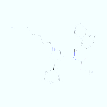 C[C@H](c1cccc2ccccc12)N(C[C@H]1CN(C(=O)CCCCC(=O)O)C[C@@H]1c1ccccc1)C(=O)OC(C)(C)C